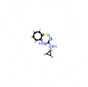 c1ccc2c(c1)NC(NC1CC1)=NS2